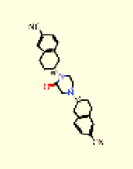 N#Cc1ccc2c(c1)CC[C@@H](N1CCN([C@@H]3CCc4cc(C#N)ccc4C3)C(=O)C1)C2